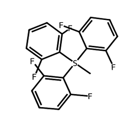 CS(c1c(F)cccc1F)(c1c(F)cccc1F)c1c(F)cccc1F